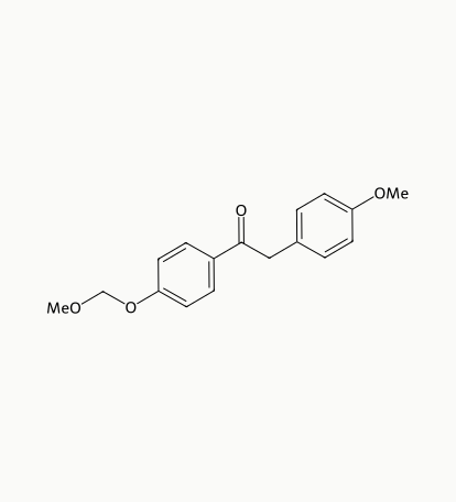 COCOc1ccc(C(=O)Cc2ccc(OC)cc2)cc1